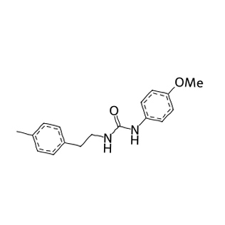 COc1ccc(NC(=O)NCCc2ccc(C)cc2)cc1